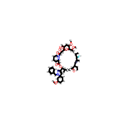 CCC1/C=C(\C)C(F)C(C)CC(OC)C2OC(O)(C(=O)C(=O)N3CCCCC3C(=O)OC(C(C)=CC3(NCc4ccccc4)CCCC(OC)C3)C(C)CCC1=O)C(C)CC2OC